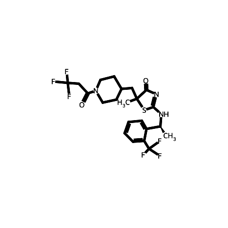 C[C@H](NC1=NC(=O)C(C)(CC2CCN(C(=O)CC(F)(F)F)CC2)S1)c1ccccc1C(F)(F)F